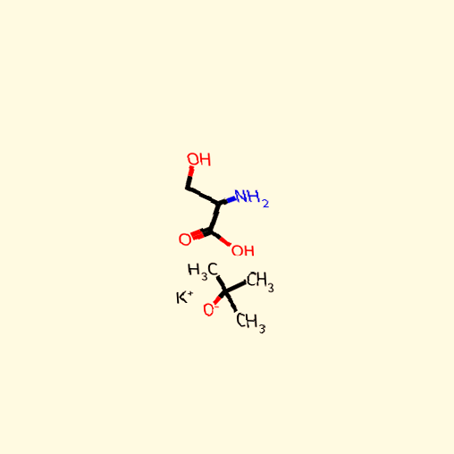 CC(C)(C)[O-].NC(CO)C(=O)O.[K+]